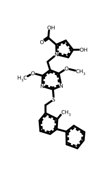 COc1nc(SCc2cccc(-c3ccccc3)c2C)nc(OC)c1Cn1cc(O)cc1C(=O)O